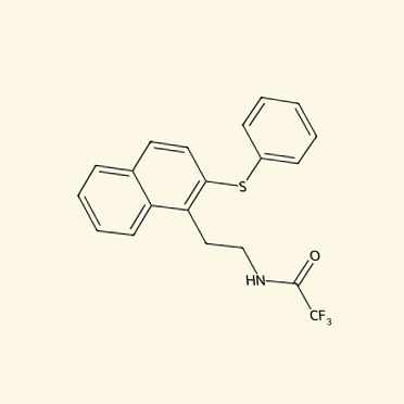 O=C(NCCc1c(Sc2ccccc2)ccc2ccccc12)C(F)(F)F